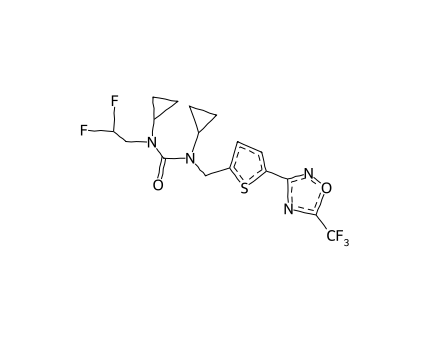 O=C(N(Cc1ccc(-c2noc(C(F)(F)F)n2)s1)C1CC1)N(CC(F)F)C1CC1